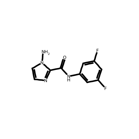 Nn1ccnc1C(=O)Nc1cc(F)cc(F)c1